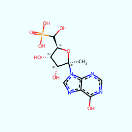 C[C@@]1(n2cnc3c(O)ncnc32)O[C@H](C(O)P(=O)(O)O)[C@@H](O)[C@H]1O